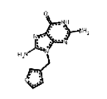 Nc1nc2c(nc(N)n2Cc2ccsc2)c(=O)[nH]1